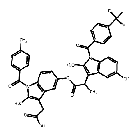 Cc1ccc(C(=O)n2c(C)c(CC(=O)O)c3cc(OC(=O)C(C)c4c(C)n(C(=O)c5ccc(C(F)(F)F)cc5)c5ccc(O)cc45)ccc32)cc1